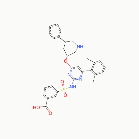 Cc1cccc(C)c1-c1cc(OC2CNCC(c3ccccc3)C2)nc(NS(=O)(=O)c2cccc(C(=O)O)c2)n1